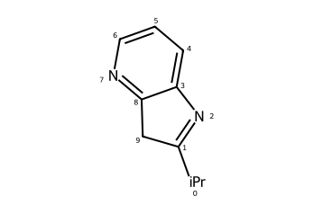 CC(C)C1=Nc2cccnc2C1